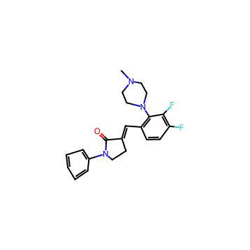 CN1CCN(c2c(C=C3CCN(c4ccccc4)C3=O)ccc(F)c2F)CC1